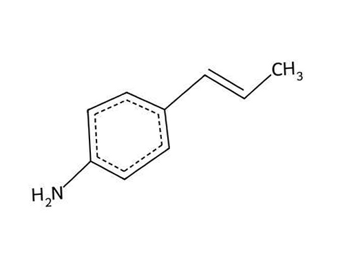 C/C=C/c1ccc(N)cc1